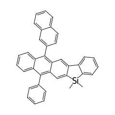 C[Si]1(C)c2ccccc2-c2cc3c(-c4ccc5ccccc5c4)c4ccccc4c(-c4ccccc4)c3cc21